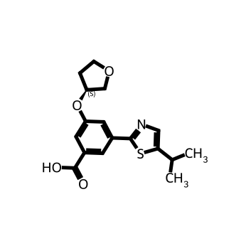 CC(C)c1cnc(-c2cc(O[C@H]3CCOC3)cc(C(=O)O)c2)s1